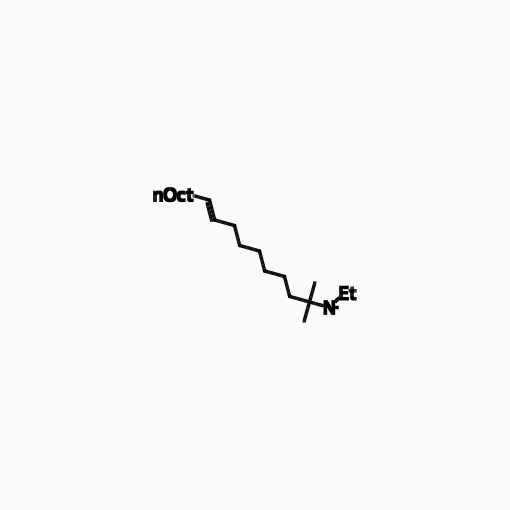 CCCCCCCCC=CCCCCCCC(C)(C)[N]CC